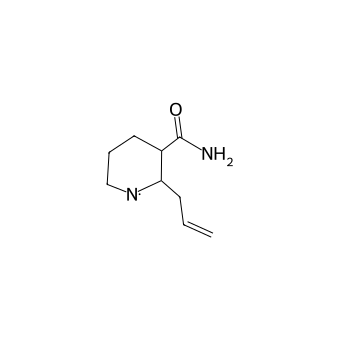 C=CCC1[N]CCCC1C(N)=O